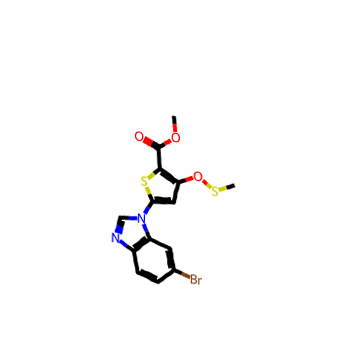 COC(=O)c1sc(-n2cnc3ccc(Br)cc32)cc1OSC